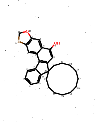 Oc1cc2c(c3cc4c(cc13)OCS4)-c1ccccc1C21CCCCCCCCCCC1